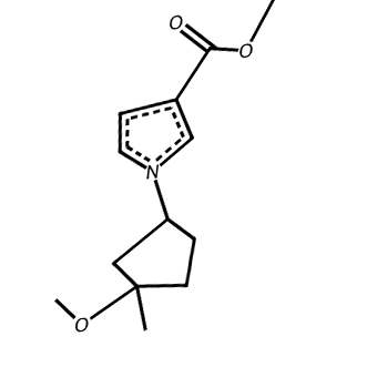 COC(=O)c1ccn(C2CCC(C)(OC)C2)c1